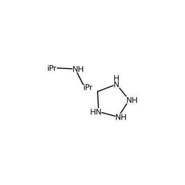 C1NNNN1.CC(C)NC(C)C